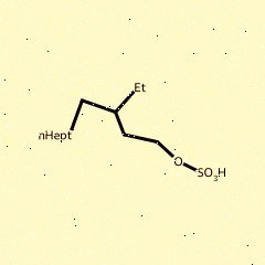 CCCCCCCCC(CC)CCOS(=O)(=O)O